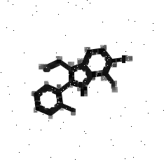 Cc1ccccc1-c1[nH]c2c(F)c(F)ccc2c1C=O